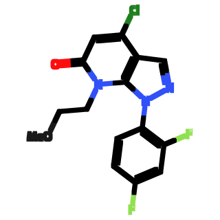 COCCn1c(=O)cc(Cl)c2cnn(-c3ccc(F)cc3F)c21